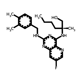 CCCC[C@](C)(CO)Nc1nc(NCc2ccc(C)c(C)c2)nc2cc(F)cnc12